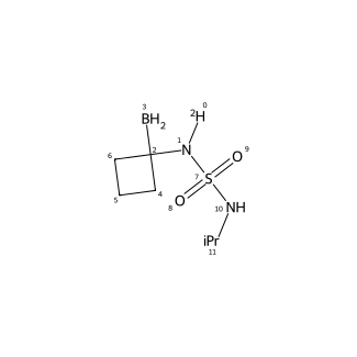 [2H]N(C1(B)CCC1)S(=O)(=O)NC(C)C